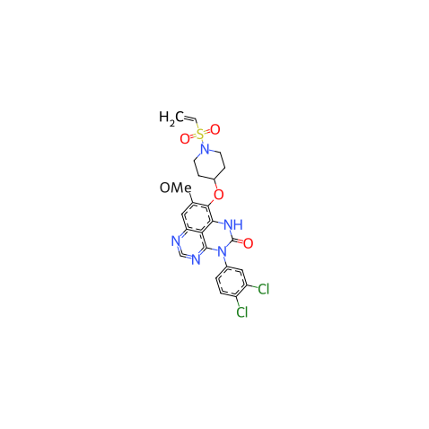 C=CS(=O)(=O)N1CCC(Oc2c(OC)cc3ncnc4c3c2NC(=O)N4c2ccc(Cl)c(Cl)c2)CC1